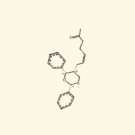 CC(=O)CC/C=C\C[C@@H]1CO[C@H](c2ccccc2)O[C@@H]1c1ccccc1